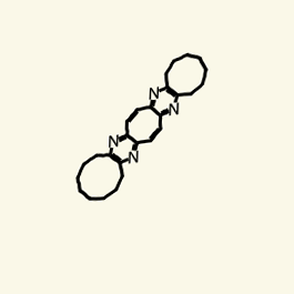 C1=C\c2nc3c(nc2/C=C\c2nc4c(nc2/1)CCCCCCCC4)CCCCCCC3